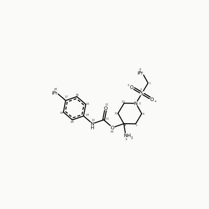 CC(C)CS(=O)(=O)N1CCC(N)(OC(=O)Nc2ccc(C(C)C)cc2)CC1